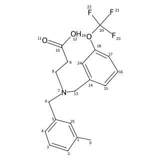 Cc1cccc(CN(CCC(=O)O)Cc2cccc(OC(F)(F)F)c2)c1